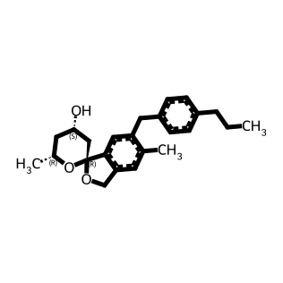 CCCc1ccc(Cc2cc3c(cc2C)CO[C@@]32C[C@@H](O)C[C@@H](C)O2)cc1